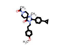 COc1ccc(CCN2C(=O)C3(CCN(C(C)=O)CC3)N(C)C2c2ccc(C3CC3)cc2)cc1